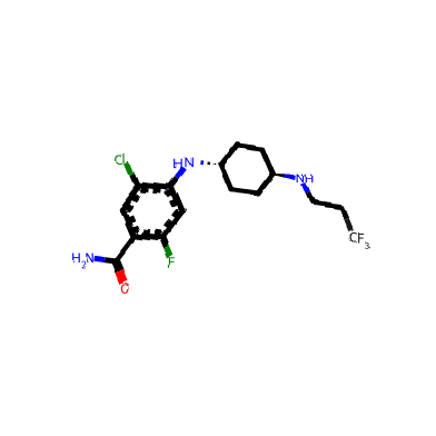 NC(=O)c1cc(Cl)c(N[C@H]2CC[C@H](NCCC(F)(F)F)CC2)cc1F